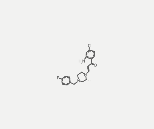 C[C@@H]1CN(Cc2ccc(F)cc2)CCN1/C=C/C(=O)c1ccc(Cl)cc1N